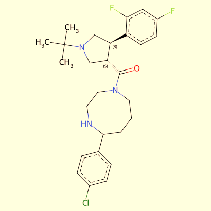 CC(C)(C)N1C[C@@H](C(=O)N2CCCC(c3ccc(Cl)cc3)NCC2)[C@H](c2ccc(F)cc2F)C1